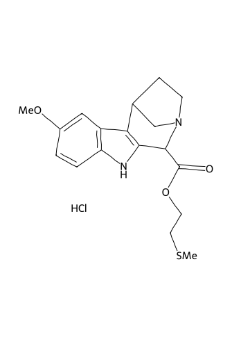 COc1ccc2[nH]c3c(c2c1)C1CCN(C1)C3C(=O)OCCSC.Cl